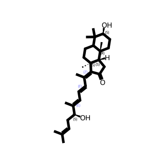 CC(C)=CC[C@H](O)/C(C)=C/C=C/C(C)=C1\C(=O)C[C@H]2[C@@]3(C)CC[C@H](O)C(C)(C)C3CC[C@]12C